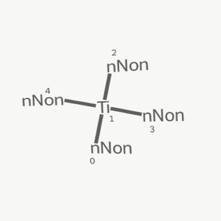 CCCCCCCC[CH2][Ti]([CH2]CCCCCCCC)([CH2]CCCCCCCC)[CH2]CCCCCCCC